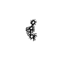 FC1CCC(OC(F)(F)C2C(F)CC(C3CCCCC3)CC2F)CC1F